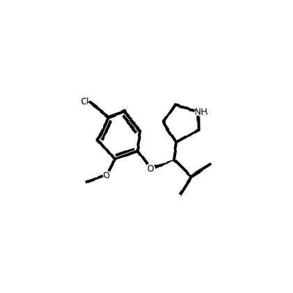 COc1cc(Cl)ccc1O[C@H](C(C)C)C1CCNC1